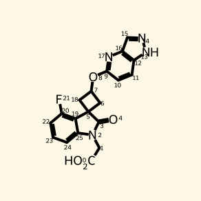 O=C(O)CN1C(=O)C2(CC(Oc3ccc4[nH]ncc4n3)C2)c2c(F)cccc21